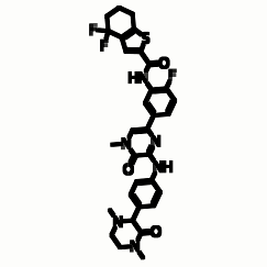 CN1CCN(C)C(c2ccc(Nc3nc(-c4ccc(F)c(NC(=O)c5cc6c(s5)CCCC6(F)F)c4)cn(C)c3=O)cc2)C1=O